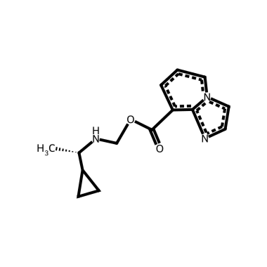 C[C@H](NCOC(=O)c1cccn2ccnc12)C1CC1